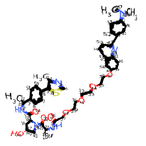 Cc1ncsc1-c1ccc([C@H](C)NC(=O)[C@@H]2C[C@@H](O)CN2C(=O)[C@@H](NC(=O)COCCOCCOCCOc2ccc3nc(-c4ccc(N(C)C)cc4)ccc3c2)C(C)(C)C)cc1